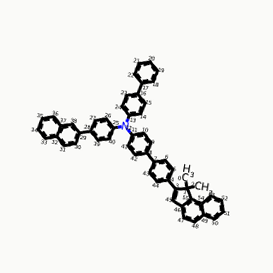 CC1(C)C(c2ccc(-c3ccc(N(c4ccc(-c5ccccc5)cc4)c4ccc(-c5ccc6ccccc6c5)cc4)cc3)cc2)=Cc2ccc3ccccc3c21